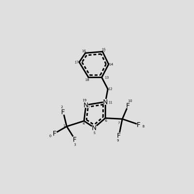 FC(F)(F)c1nc(C(F)(F)F)n(Cc2c[c]ccc2)n1